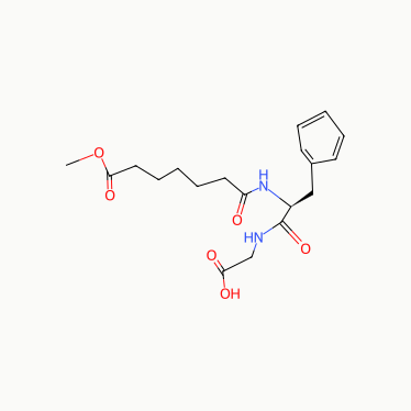 COC(=O)CCCCCC(=O)N[C@@H](Cc1ccccc1)C(=O)NCC(=O)O